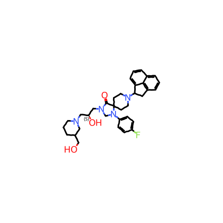 O=C1N(C[C@@H](O)CN2CCCC(CO)C2)CN(c2ccc(F)cc2)C12CCN(C1Cc3cccc4cccc1c34)CC2